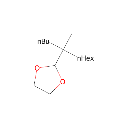 CCCCCCC(C)(CCCC)C1OCCO1